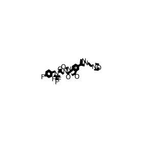 CC(C)(N(Cc1ccc(F)cc1)C(=O)CN1C(=O)N[C@]2(CC(=O)c3cc(-c4cnn(CCN5CCOCC5)c4)ccc32)C1=O)C(F)(F)F